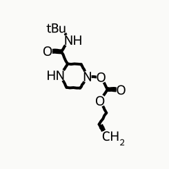 C=CCOC(=O)ON1CCNC(C(=O)NC(C)(C)C)C1